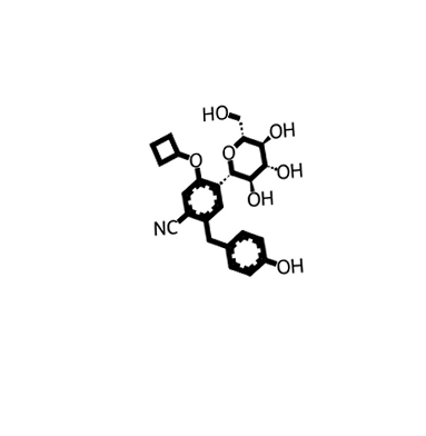 N#Cc1cc(OC2CCC2)c([C@@H]2O[C@H](CO)[C@@H](O)[C@H](O)[C@H]2O)cc1Cc1ccc(O)cc1